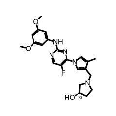 COc1cc(Nc2ncc(F)c(-n3cc(C)c(CN4CC[C@@H](O)C4)c3)n2)cc(OC)c1